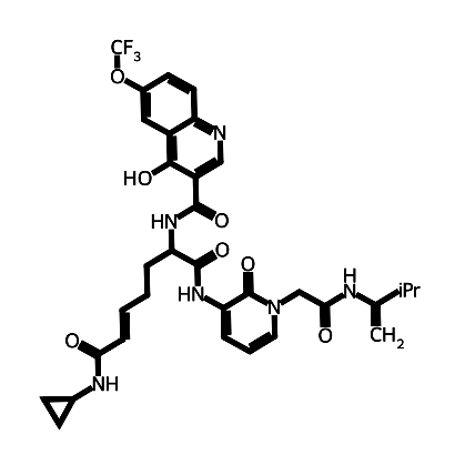 C=C(NC(=O)Cn1cccc(NC(=O)C(CC/C=C/C(=O)NC2CC2)NC(=O)c2cnc3ccc(OC(F)(F)F)cc3c2O)c1=O)C(C)C